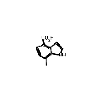 Cc1ccc(C(=O)O)c2cc[nH]c12